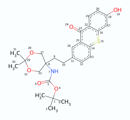 CC(C)(C)OC(=O)NC1(CCc2ccc3sc4cc(O)ccc4c(=O)c3c2)COC(C)(C)OC1